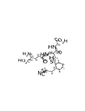 N#C[Se]Cc1ccccc1.NC(CCC(=O)NC(CS)C(=O)NCC(=O)O)C(=O)O